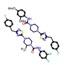 CC1CN(c2nc(Cc3ccc(F)cc3)ns2)CCN1C(=O)Nc1ccc(F)c(F)c1.COc1ccc(NC(=O)N2CCN(c3nc(Cc4ccc(F)cc4)ns3)CC2)c(OC)c1